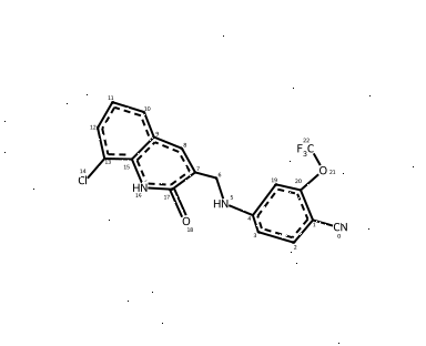 N#Cc1ccc(NCc2cc3cccc(Cl)c3[nH]c2=O)cc1OC(F)(F)F